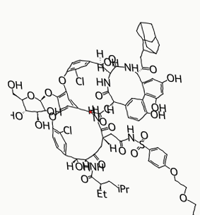 CC[C@H](CC(C)C)C(=O)N[C@H]1C(=O)C[C@@H](CC(=O)NS(=O)(=O)c2ccc(OCCOCCOC)cc2)C(=O)N[C@H]2C(=O)C[C@H]3C(=O)N[C@H](C(=O)N[C@H](C(=O)CC4C5CC6CC(C5)CC4C6)c4cc(O)cc(O)c4-c4cc3ccc4O)[C@H](O)c3ccc(c(Cl)c3)Oc3cc2cc(c3O[C@@H]2O[C@H](CO)[C@@H](O)[C@H](O)[C@H]2O)Oc2ccc(cc2Cl)[C@H]1O